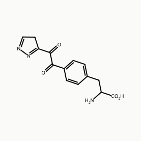 NC(Cc1ccc(C(=O)C(=O)C2=NN=CC2)cc1)C(=O)O